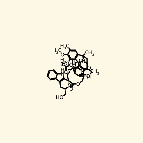 COc1c(C)cc2c(c1O)[C@@H]1[C@@H]3[C@@H]4SC[C@]5(N[C@@H](CO)Cc6c5[nH]c5ccccc65)C(=O)OC[C@@H](c5c6c(c(C)c(OC(C)=O)c54)OCO6)N3C3(C)CN1C2(C)C3